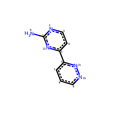 Nc1nccc(-c2cccnn2)n1